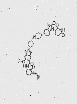 CC(C)Oc1cc2nn(C3CCC(CN4CCC(c5ccc6c(c5)n(C)c(=O)n6C5CCC(=O)NC5=O)CC4)CC3)cc2cc1C(=O)Nc1cccn([C@H]2C[C@H]2F)c1=O